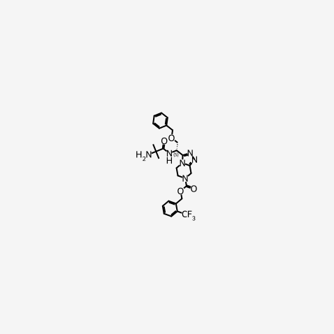 CC(C)(N)C(=O)N[C@H](COCc1ccccc1)c1nnc2n1CCN(C(=O)OCc1ccccc1C(F)(F)F)C2